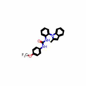 Cc1cc2ccccc2n1-c1ccccc1NC(=O)Nc1ccc(OC(F)(F)F)cc1